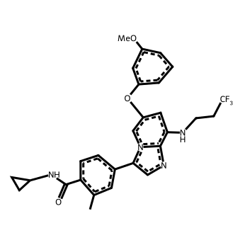 COc1cccc(Oc2cc(NCCC(F)(F)F)c3ncc(-c4ccc(C(=O)NC5CC5)c(C)c4)n3c2)c1